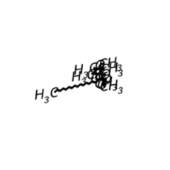 CCCCCCCCCCCCCCC[C@@]1(C)Oc2c(C)c(C)c(OC)c(C)c2C(=O)C1C(=O)OC